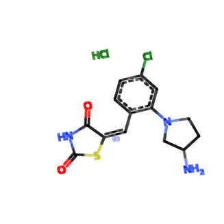 Cl.NC1CCN(c2cc(Cl)ccc2/C=C2/SC(=O)NC2=O)C1